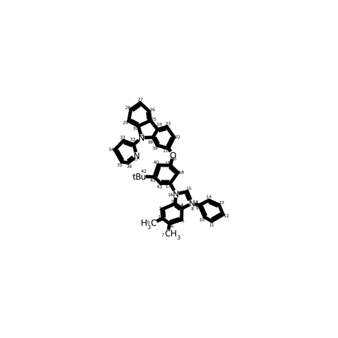 Cc1cc2c(cc1C)[n+](-c1ccccc1)cn2-c1cc(Oc2ccc3c4ccccc4n(-c4ccccn4)c3c2)cc(C(C)(C)C)c1